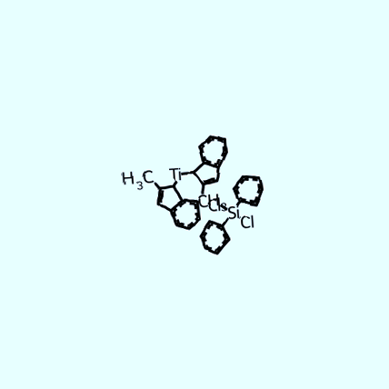 CC1=Cc2ccccc2[CH]1[Ti][CH]1C(C)=Cc2ccccc21.Cl[Si](Cl)(c1ccccc1)c1ccccc1